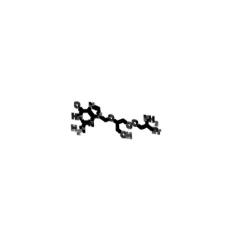 CC(C)C(N)COOCC(CO)OCn1cnc2c(=O)[nH]c(N)nc21